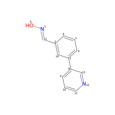 ON=Cc1cccc(-c2cccnc2)c1